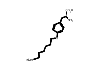 CCCCCCCCCCCCCCCCOc1ccc(C[C@H](N)C(=O)O)cc1